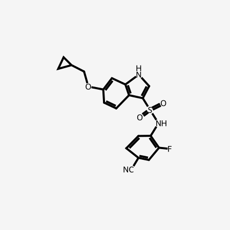 N#Cc1ccc(NS(=O)(=O)c2c[nH]c3cc(OCC4CC4)ccc23)c(F)c1